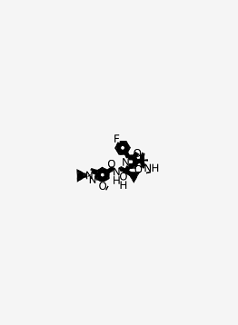 CNC(=O)[C@@]1(C)COc2c1cc(C(O)(CNC(=O)c1cc(OC)c3nn(C4CC4)cc3c1)C1CC1)nc2-c1ccc(F)cc1